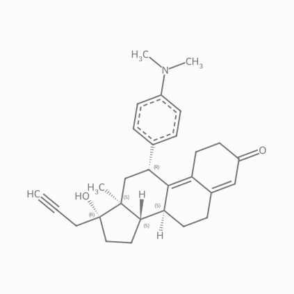 C#CC[C@]1(O)CC[C@H]2[C@@H]3CCC4=CC(=O)CCC4=C3[C@@H](c3ccc(N(C)C)cc3)C[C@@]21C